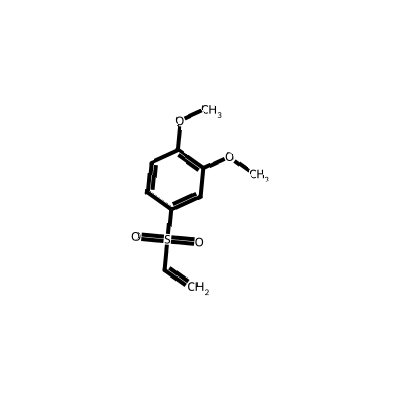 C=CS(=O)(=O)c1ccc(OC)c(OC)c1